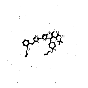 C=CCOc1ccccc1Cc1cnc(-c2cc3nc(C)c(C(OC(C)(C)C)C(=O)O)c(N4CCC(C)(OCC=C)CC4)n3n2)s1